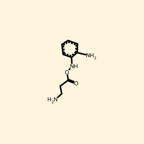 NCCC(=O)ONc1ccccc1N